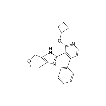 c1ccc(-c2ccnc(OC3CCC3)c2-c2nc3c([nH]2)COCC3)cc1